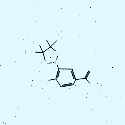 CC(=O)c1ccc(C)c(B2OC(C)(C)C(C)(C)O2)c1